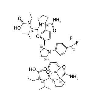 CCN(C(=O)O)[C@H](C(=O)N1CCC[C@@]1(C(N)=O)c1ccc([C@@H]2CC[C@@H](c3ccc([C@]4(C(N)=O)CCCN4C(=O)[C@H](C(C)C)N(CC)C(=O)O)cc3)N2c2ccc(C(F)(F)F)cc2)cc1)C(C)C